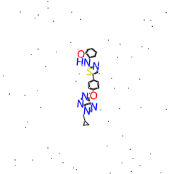 COc1ccccc1Nc1ncc(-c2ccc(Oc3ncnc4c3ncn4CC3CC3)cc2)s1